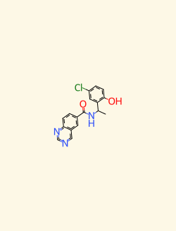 CC(NC(=O)c1ccc2ncncc2c1)c1cc(Cl)ccc1O